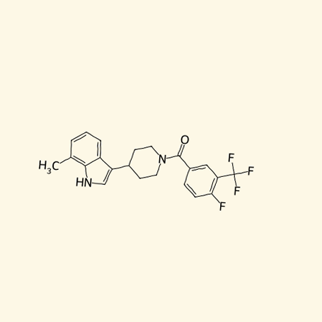 Cc1cccc2c(C3CCN(C(=O)c4ccc(F)c(C(F)(F)F)c4)CC3)c[nH]c12